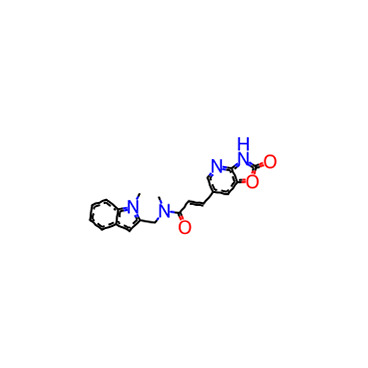 CN(Cc1cc2ccccc2n1C)C(=O)C=Cc1cnc2[nH]c(=O)oc2c1